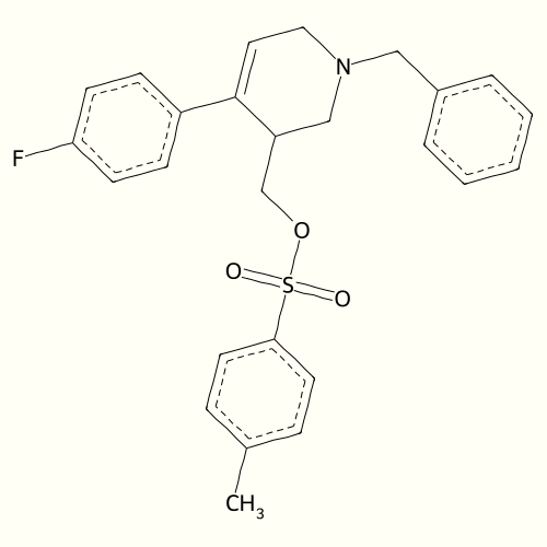 Cc1ccc(S(=O)(=O)OCC2CN(Cc3ccccc3)CC=C2c2ccc(F)cc2)cc1